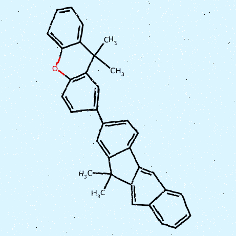 CC1(C)c2ccccc2Oc2ccc(-c3ccc4c(c3)C(C)(C)c3cc5ccccc5cc3-4)cc21